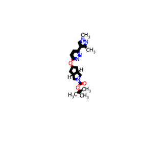 Cc1nn(C)cc1-c1ccc(OC2C[C@@H]3CN(C(=O)OC(C)(C)C)C[C@@H]3C2)nn1